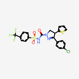 O=C(NS(=O)(=O)c1ccc(C(F)(F)F)cc1)N1CC(c2cccs2)C(c2ccc(Cl)cc2)=N1